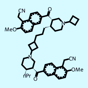 CCC[C@@H]1CCN(C2CC(CCC[C@H]3CCN(C4CCC4)C[C@H]3C(=O)c3ccc4c(CC#N)c(OC)ccc4c3)C2)C[C@@H]1C(=O)c1ccc2c(CC#N)c(OC)ccc2c1